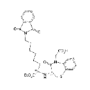 CCOC(=O)[C@H](CCCCCCN1C(=O)c2ccccc2C1=O)N[C@H]1CSc2ccccc2N(CC(=O)O)C1=O